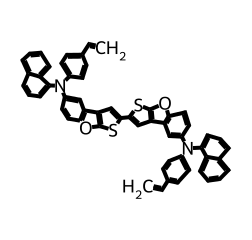 C=Cc1ccc(N(c2ccc3oc4sc(-c5cc6c(oc7ccc(N(c8ccc(C=C)cc8)c8cccc9ccccc89)cc76)s5)cc4c3c2)c2cccc3ccccc23)cc1